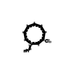 CCC[s+]1cccccccc1.[Cl-]